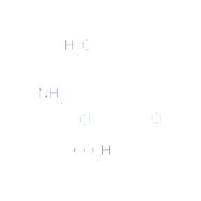 C=CC(=O)Cl.NCC(=O)O